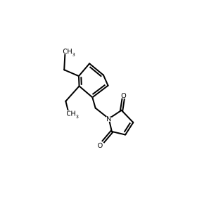 CCc1cccc(CN2C(=O)C=CC2=O)c1CC